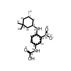 C[C@@H]1C[C@@H](Nc2ccc(NC(=O)O)cc2[N+](=O)[O-])CC(C)(C)C1